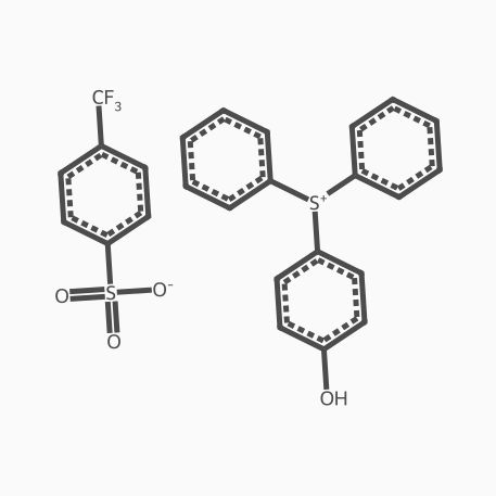 O=S(=O)([O-])c1ccc(C(F)(F)F)cc1.Oc1ccc([S+](c2ccccc2)c2ccccc2)cc1